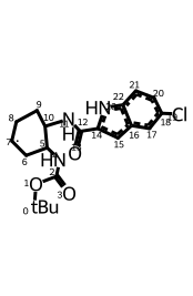 CC(C)(C)OC(=O)NC1C[CH]CCC1NC(=O)c1cc2cc(Cl)ccc2[nH]1